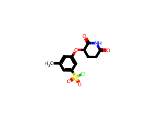 Cc1cc(OC2CCC(=O)NC2=O)cc(S(=O)(=O)Cl)c1